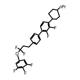 CCCC1CCC(c2ccc(-c3ccc(CCC(F)(F)Oc4cc(F)c(F)c(F)c4)cc3)c(F)c2F)CC1